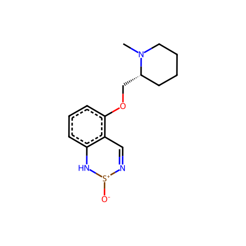 CN1CCCC[C@@H]1COc1cccc2c1C=N[S+]([O-])N2